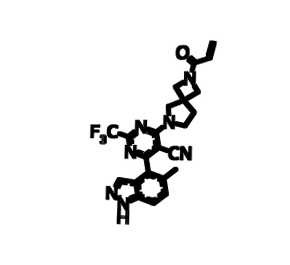 C=CC(=O)N1CC2(CCN(c3nc(C(F)(F)F)nc(-c4c(C)ccc5[nH]ncc45)c3C#N)C2)C1